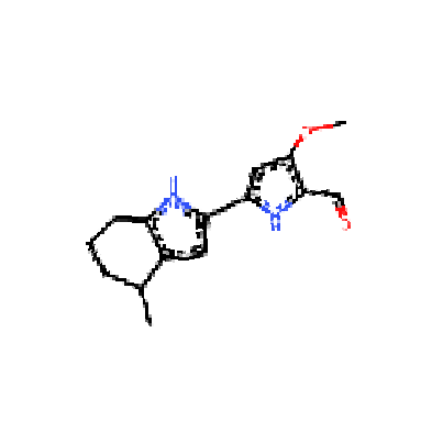 COc1cc(-c2cc3c([nH]2)CCCC3C)[nH]c1C=O